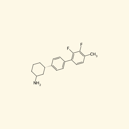 Cc1ccc(-c2ccc([C@H]3CCCC(N)C3)cc2)c(F)c1F